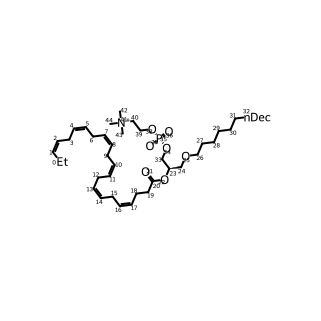 CC/C=C\C/C=C\C/C=C\C/C=C\C/C=C\C/C=C\CCC(=O)O[C@H](COCCCCCCCCCCCCCCCC)COP(=O)([O-])OCC[N+](C)(C)C